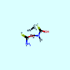 CCCC.CCN(CC)C(O)=S.NC(O)=S